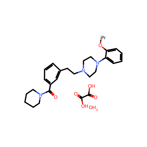 CC(C)Oc1ccccc1N1CCN(CCc2cccc(C(=O)N3CCCCC3)c2)CC1.O.O=C(O)C(=O)O